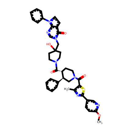 COc1ccc(-c2nc(C)c(C(=O)N3CC[C@@H](C(=O)N4CCC(O)(Cn5cnc6c(ccn6-c6ccccc6)c5=O)CC4)[C@H](c4ccccc4)C3)s2)cn1